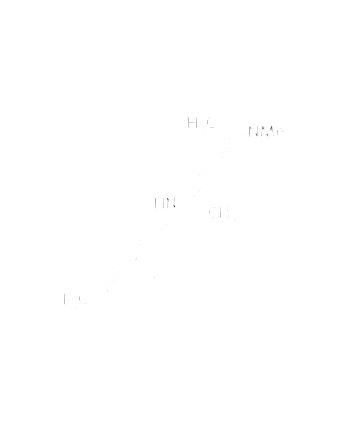 CN/C(C)=C/C=C(\C)NCCc1cccc(C(F)(F)F)c1